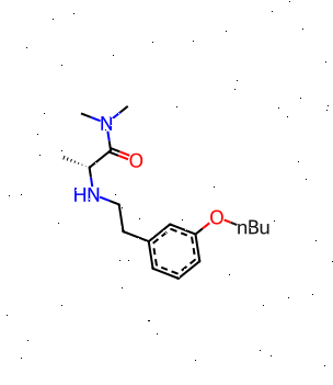 CCCCOc1cccc(CCN[C@H](C)C(=O)N(C)C)c1